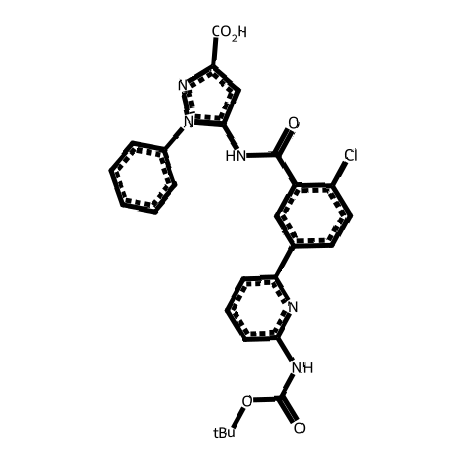 CC(C)(C)OC(=O)Nc1cccc(-c2ccc(Cl)c(C(=O)Nc3cc(C(=O)O)nn3-c3ccccc3)c2)n1